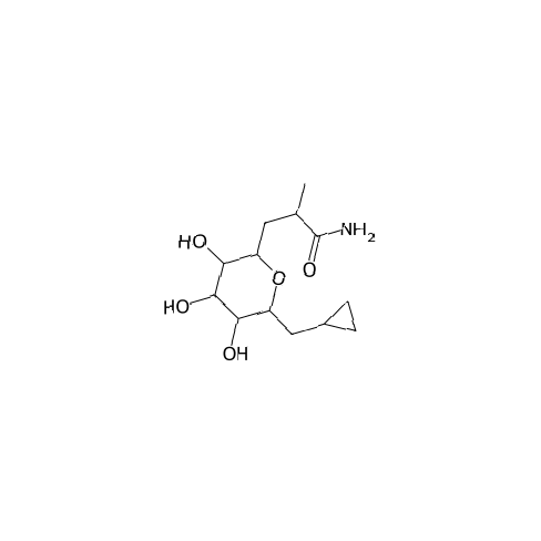 CC(CC1OC(CC2CC2)C(O)C(O)C1O)C(N)=O